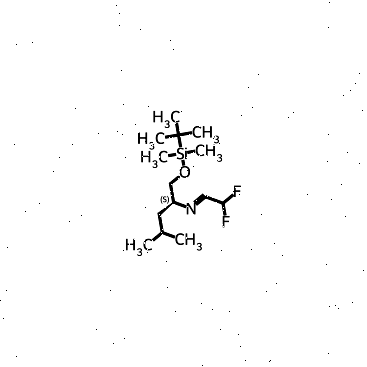 CC(C)C[C@@H](CO[Si](C)(C)C(C)(C)C)N=CC(F)F